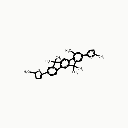 Cc1ccc(-c2cc(C)c3c(c2)C(C)(C)c2cc4c(cc2-3)C(C)(C)c2cc(C3=CCC(C)S3)ccc2-4)s1